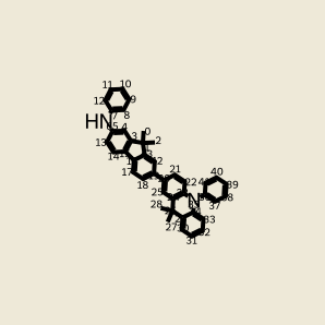 CC1(C)c2cc(Nc3ccccc3)ccc2-c2ccc(-c3ccc4c(c3)C(C)(C)c3ccccc3N4c3ccccc3)cc21